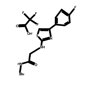 CC(C)(C)NC(=O)CNc1nc(-c2ccc(F)cc2)cs1.O=C(O)C(F)(F)F